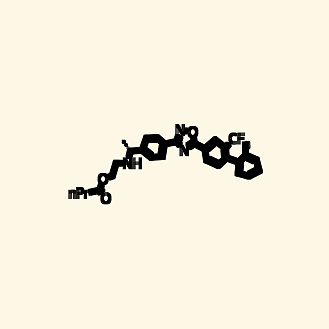 CCCC(=O)OCCN[C@H](C)c1ccc(-c2noc(-c3ccc(-c4ccccc4C)c(C(F)(F)F)c3)n2)cc1